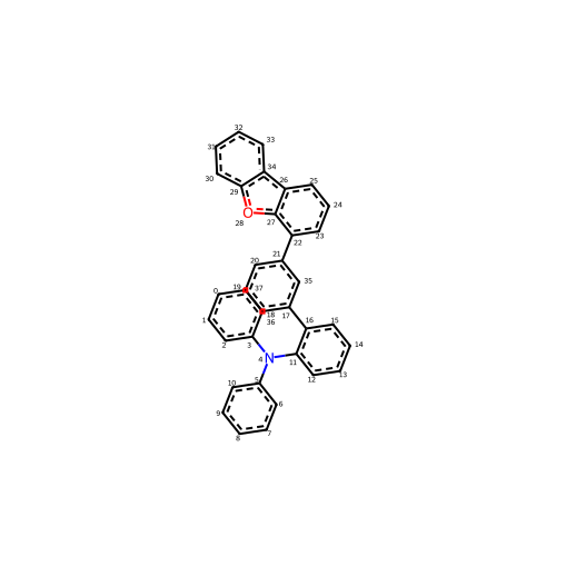 c1ccc(N(c2ccccc2)c2ccccc2-c2cccc(-c3cccc4c3oc3ccccc34)c2)cc1